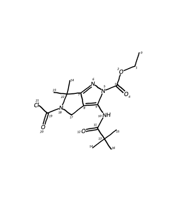 CCOC(=O)n1nc2c(c1NC(=O)C(C)(C)C)CN(C(=O)Cl)C2(C)C